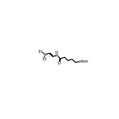 CCCCCCCCCCCCCC(=O)N/C=C/N(CC)CC